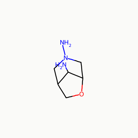 NC1C2COC1CN(N)C2